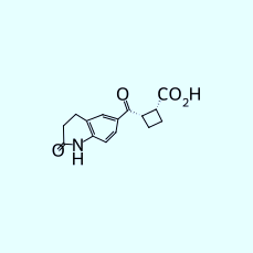 O=C1CCc2cc(C(=O)[C@H]3CC[C@H]3C(=O)O)ccc2N1